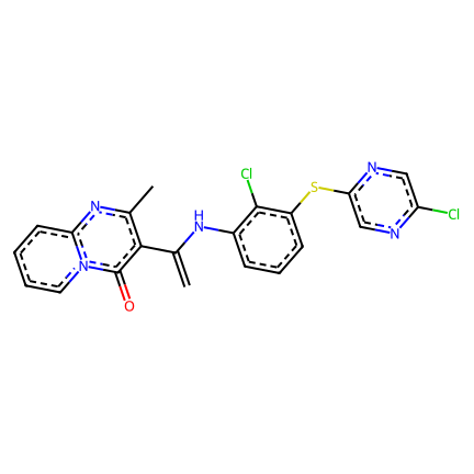 C=C(Nc1cccc(Sc2cnc(Cl)cn2)c1Cl)c1c(C)nc2ccccn2c1=O